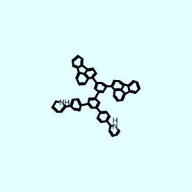 C1=CCNC(c2ccc(-c3cc(-c4ccc(C5C=CC=CN5)cc4)cc(-c4cc(-c5ccc6c7c(cccc57)-c5ccccc5-6)cc(-c5ccc6c7c(cccc57)-c5ccccc5-6)c4)c3)cc2)=C1